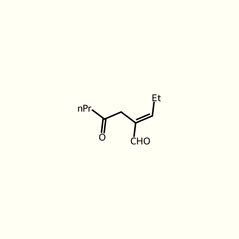 CCC=C(C=O)CC(=O)CCC